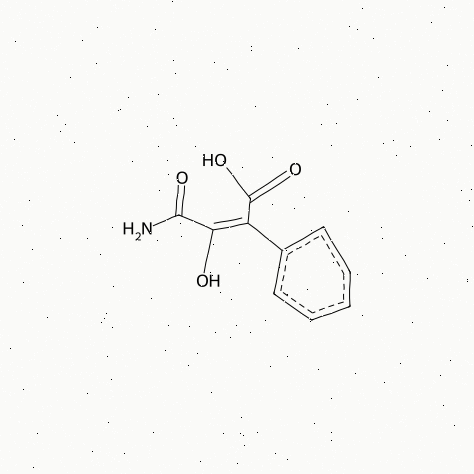 NC(=O)/C(O)=C(\C(=O)O)c1ccccc1